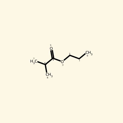 CCCOC(=O)[C](C)C